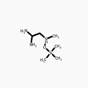 C[SiH](CC(N)N)O[Si](C)(C)C